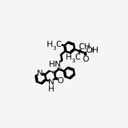 Cc1ccc(C(C)(C)C(=O)O)cc1CCN[C@H](c1ccccc1)[C@@H]1Cc2ncccc2NC1=O